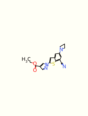 CCOC(=O)c1cnn(-c2cc3cc(N4CCC4)cc(C#N)c3s2)c1